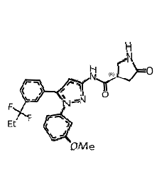 CCC(F)(F)c1cccc(-c2cc(NC(=O)[C@H]3CNC(=O)C3)nn2-c2cccc(OC)c2)c1